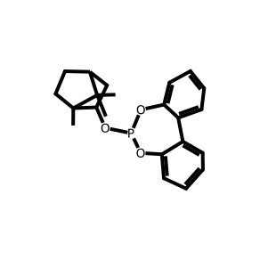 CC1(C)C2CCC1(C)C(Op1oc3ccccc3c3ccccc3o1)C2